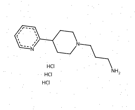 Cl.Cl.Cl.NCCCN1CCC(c2ccccn2)CC1